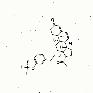 CC(=O)[C@H]1CC[C@H]2[C@@H]3C=CC4=CC(=O)CC[C@]4(C)[C@H]3CC[C@]12CCCc1cccc(OC(F)(F)F)c1